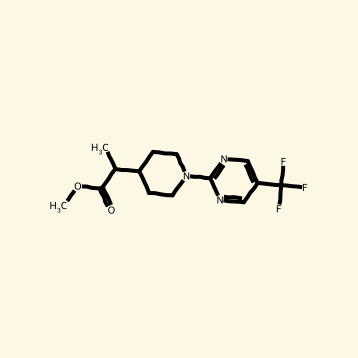 COC(=O)C(C)C1CCN(c2ncc(C(F)(F)F)cn2)CC1